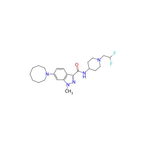 Cn1nc(C(=O)NC2CCN(CC(F)F)CC2)c2ccc(N3CCCCCCC3)cc21